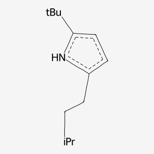 CC(C)CCc1ccc(C(C)(C)C)[nH]1